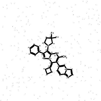 CC1=C(c2ccc3nccn3c2)C(=C2CCC2)n2nc(-c3ccccc3)c(N3CCC(F)(F)C3)c2N1